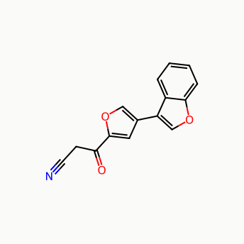 N#CCC(=O)c1cc(-c2coc3ccccc23)co1